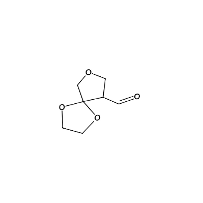 O=CC1COCC12OCCO2